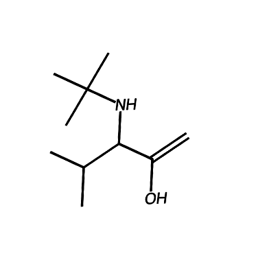 C=C(O)C(NC(C)(C)C)C(C)C